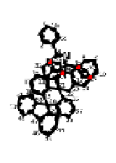 c1ccc(-c2nc(-c3ccccc3)nc(-c3cccc4c3C3(Cc5ccccc5-c5ccccc53)c3ccccc3C43c4ccccc4-c4ccccc43)n2)cc1